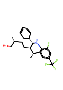 C[C@@H](CO)CC[C@@H]1[C@H](C)c2cc(C(F)(F)F)cc(F)c2N[C@H]1C1C=CC=CC1